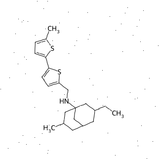 CCC1CC2CC(C)CC(NCc3ccc(-c4ccc(C)s4)s3)(C1)C2